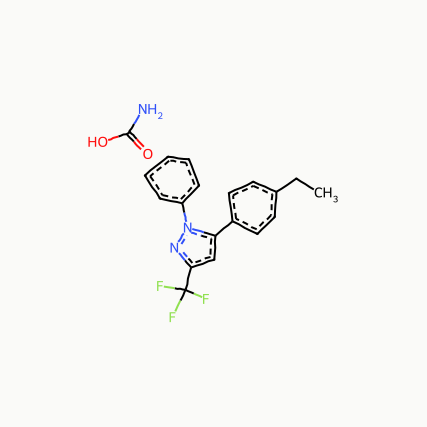 CCc1ccc(-c2cc(C(F)(F)F)nn2-c2ccccc2)cc1.NC(=O)O